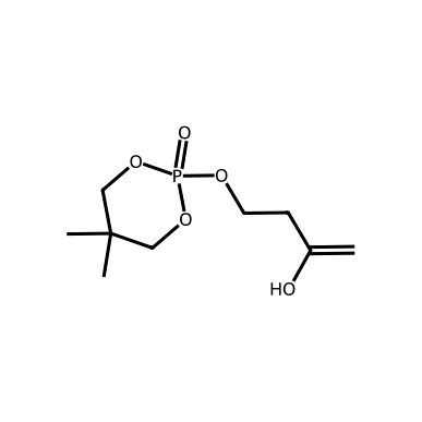 C=C(O)CCOP1(=O)OCC(C)(C)CO1